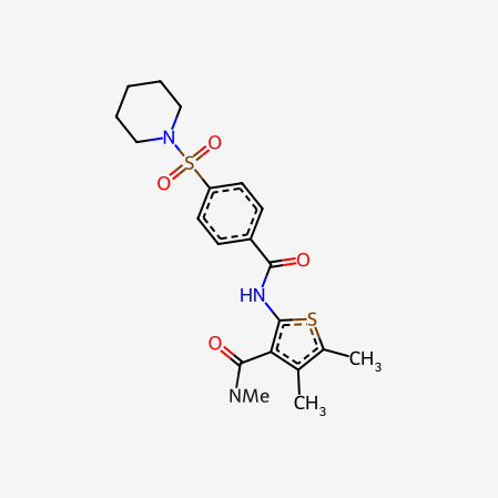 CNC(=O)c1c(NC(=O)c2ccc(S(=O)(=O)N3CCCCC3)cc2)sc(C)c1C